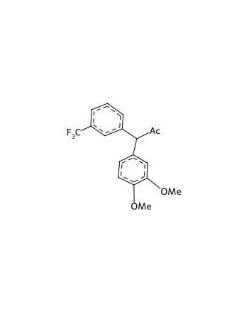 COc1ccc(C(C(C)=O)c2cccc(C(F)(F)F)c2)cc1OC